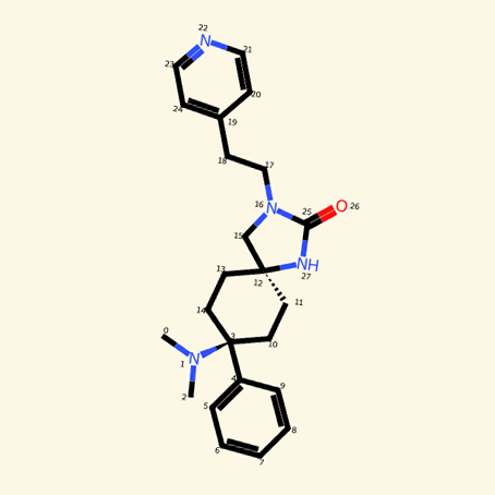 CN(C)[C@]1(c2ccccc2)CC[C@]2(CC1)CN(CCc1ccncc1)C(=O)N2